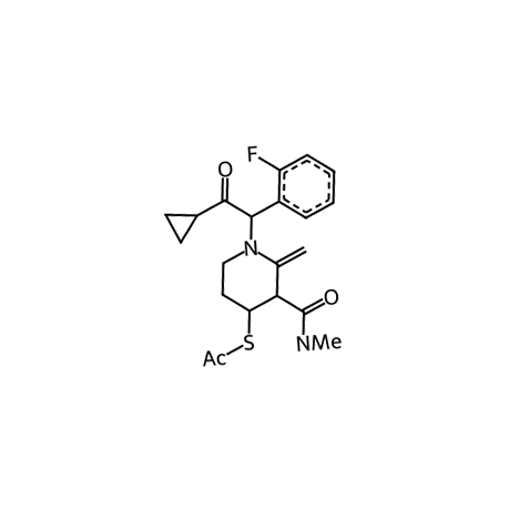 C=C1C(C(=O)NC)C(SC(C)=O)CCN1C(C(=O)C1CC1)c1ccccc1F